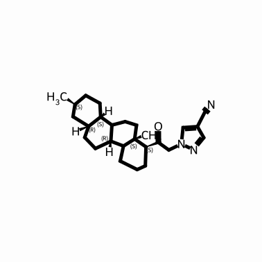 C[C@H]1CC[C@@H]2C3CC[C@@]4(C)C(CCC[C@@H]4C(=O)Cn4cc(C#N)cn4)[C@@H]3CC[C@@H]2C1